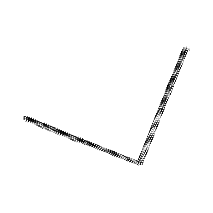 [Cu].[Cu].[Cu].[Cu].[Cu].[Cu].[Cu].[Cu].[Cu].[Cu].[Cu].[Cu].[Cu].[Cu].[Cu].[Cu].[Cu].[Cu].[Cu].[Cu].[Cu].[Cu].[Cu].[Cu].[Cu].[Cu].[Cu].[Cu].[Cu].[Cu].[Cu].[Cu].[Cu].[Cu].[Cu].[Cu].[Cu].[Cu].[Cu].[Cu].[Cu].[Cu].[Cu].[Cu].[Cu].[Cu].[Cu].[Cu].[Cu].[Cu].[Cu].[Cu].[Cu].[Pb].[Pb].[Pb].[Pb].[Pb].[Pb].[Pb].[Pb].[Pb].[Pb].[Pb].[Pb].[Pb].[Pb].[Pb].[Pb].[Pb].[Pb].[Pb].[Pb].[Pb].[Pb].[Pb].[Pb].[Pb].[Pb].[Pb].[Pb].[Pb].[Pb].[Pb].[Pb].[Pb].[Pb].[Pb].[Pb].[Pb].[Pb].[Pb].[Pb].[Pb].[Pb].[Pb].[Pb].[Pb].[Pb].[Pb].[Pb].[Pb].[Pb].[Pb].[Pb].[Pb].[Pb].[Pb]